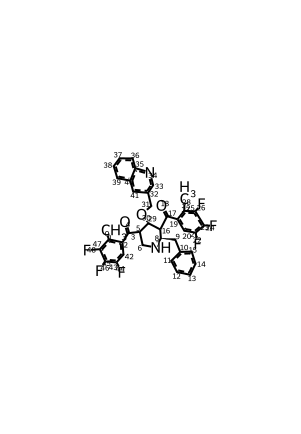 Cc1c(C(=O)C2CN[C@H](Cc3ccccc3)C(C(=O)c3cc(F)c(F)c(F)c3C)[C@H]2OCc2cnc3ccccc3c2)cc(F)c(F)c1F